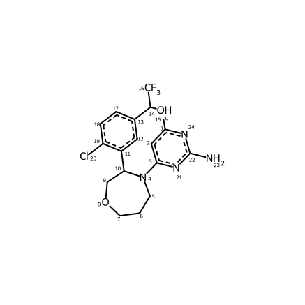 Cc1cc(N2CCCOCC2c2cc(C(O)C(F)(F)F)ccc2Cl)nc(N)n1